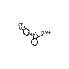 CNCc1nn(-c2ccc(OC(F)(F)F)cc2)c2ccccc12